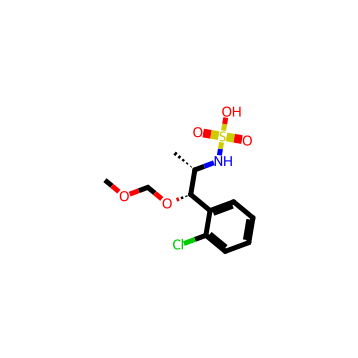 COCO[C@@H](c1ccccc1Cl)[C@H](C)NS(=O)(=O)O